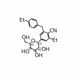 CCc1ccc(Cc2cc([C@@H]3O[C@H](CO)[C@@H](O)[C@H](O)[C@H]3O)cc(CC)c2C#N)cc1